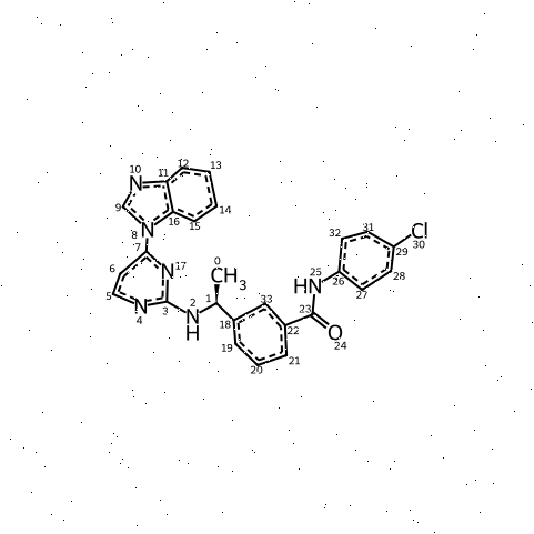 C[C@H](Nc1nccc(-n2cnc3ccccc32)n1)c1cccc(C(=O)Nc2ccc(Cl)cc2)c1